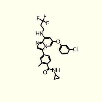 Cc1cc(-c2cnc3c(NCCC(F)(F)F)cc(Oc4cccc(Cl)c4)cn23)ccc1C(=O)NC1CC1